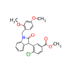 COC(=O)c1ccc(Cl)c(C2C(=O)N(Cc3ccc(OC)cc3OC)c3ccccc32)c1